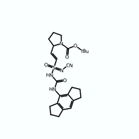 CC(C)(C)OC(=O)N1CCCC1/C=C/S(=O)(=NC#N)NC(=O)Nc1c2c(cc3c1CCC3)CCC2